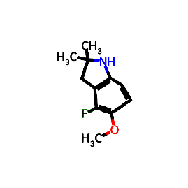 COc1ccc2c(c1F)CC(C)(C)N2